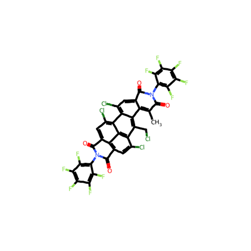 CC1=c2c(cc(Cl)c3c2c(CCl)c2c(Cl)cc4c5c(cc(Cl)c3c52)C(=O)N(c2c(F)c(F)c(F)c(F)c2F)C4=O)C(=O)N(c2c(F)c(F)c(F)c(F)c2F)C1=O